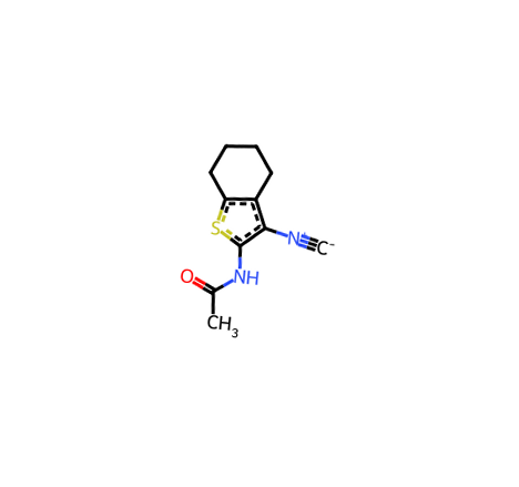 [C-]#[N+]c1c(NC(C)=O)sc2c1CCCC2